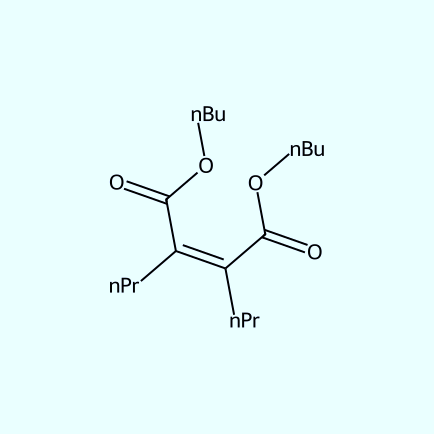 CCCCOC(=O)C(CCC)=C(CCC)C(=O)OCCCC